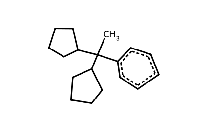 CC(c1ccccc1)(C1CCCC1)C1CCCC1